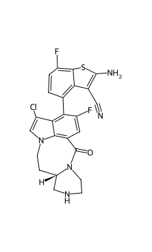 N#Cc1c(N)sc2c(F)ccc(-c3c(F)cc4c5c3c(Cl)cn5CC[C@H]3CNCCN3C4=O)c12